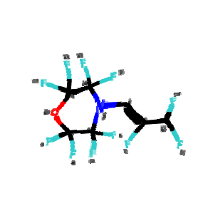 FC(=CN1C(F)(F)C(F)(F)OC(F)(F)C1(F)F)C(F)F